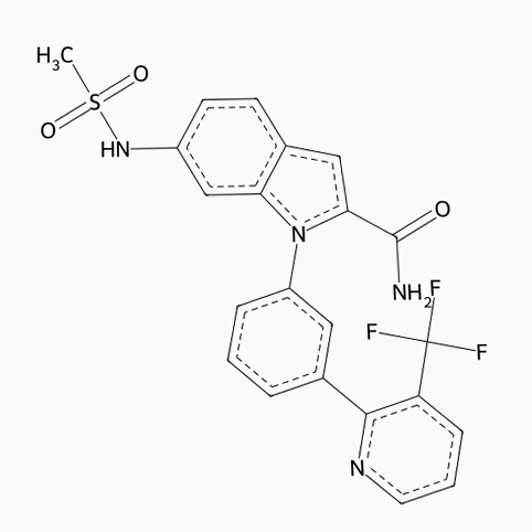 CS(=O)(=O)Nc1ccc2cc(C(N)=O)n(-c3cccc(-c4ncccc4C(F)(F)F)c3)c2c1